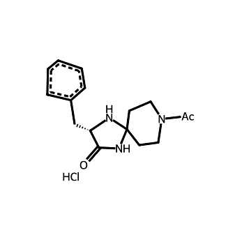 CC(=O)N1CCC2(CC1)NC(=O)[C@H](Cc1ccccc1)N2.Cl